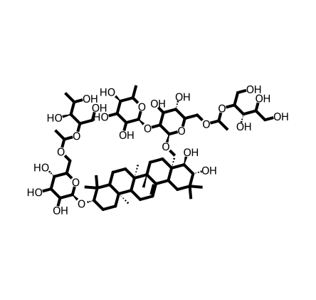 CC(OCC1O[C@@H](O[C@H]2CC[C@@]3(C)C(CC[C@]4(C)C3CC=C3C5CC(C)(C)[C@@H](O)[C@H](O)[C@]5(CO[C@@H]5OC(COC(C)OC(CO)[C@@H](O)C(O)CO)[C@@H](O)C(O)C5O[C@@H]5OC(C)[C@H](O)C(O)C5O)CC[C@]34C)C2(C)C)C(O)C(O)[C@@H]1O)OC(CO)[C@@H](O)C(C)O